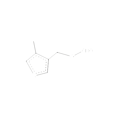 Cc1cscc1COC=O